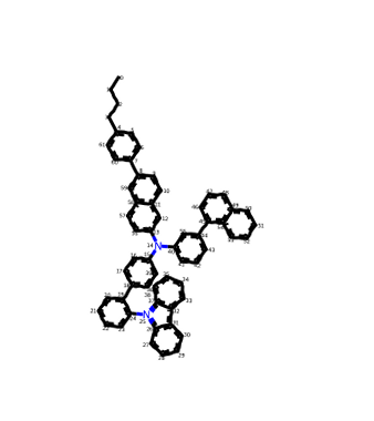 CCCCc1ccc(-c2ccc3cc(N(c4ccc(-c5ccccc5-n5c6ccccc6c6ccccc65)cc4)c4cccc(-c5cccc6ccccc56)c4)ccc3c2)cc1